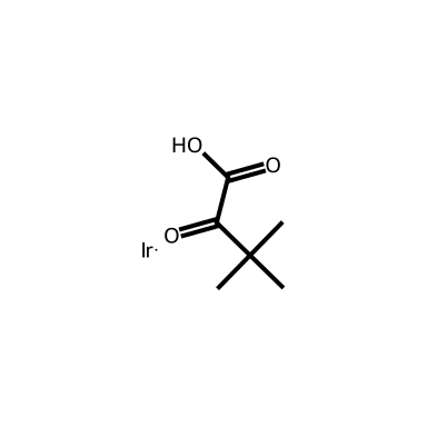 CC(C)(C)C(=O)C(=O)O.[Ir]